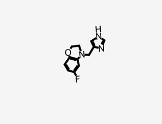 Fc1ccc2c(c1)N(Cc1c[nH]cn1)CCO2